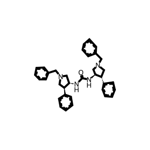 O=C(N[C@H]1CN(Cc2ccccc2)C[C@@H]1c1ccccc1)N[C@H]1CN(Cc2ccccc2)C[C@@H]1c1ccccc1